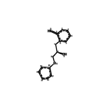 N=c1ccccn1C[C@@H](O)COc1ccccc1